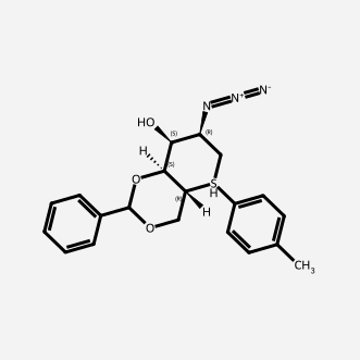 Cc1ccc([SH]2C[C@H](N=[N+]=[N-])[C@H](O)[C@@H]3OC(c4ccccc4)OC[C@H]32)cc1